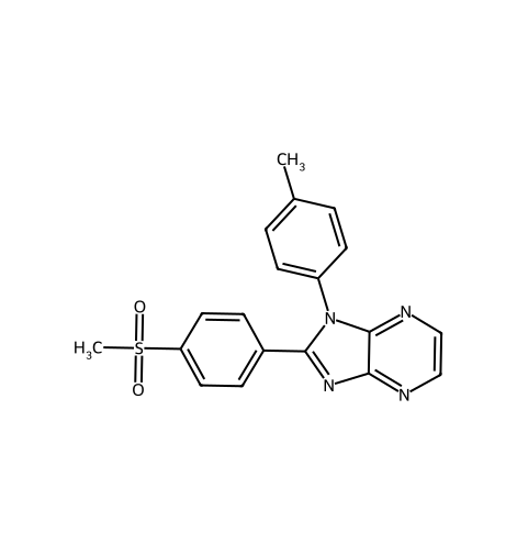 Cc1ccc(-n2c(-c3ccc(S(C)(=O)=O)cc3)nc3nccnc32)cc1